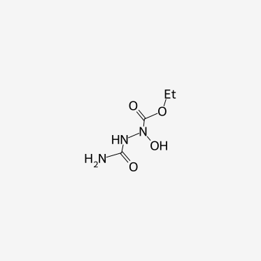 CCOC(=O)N(O)NC(N)=O